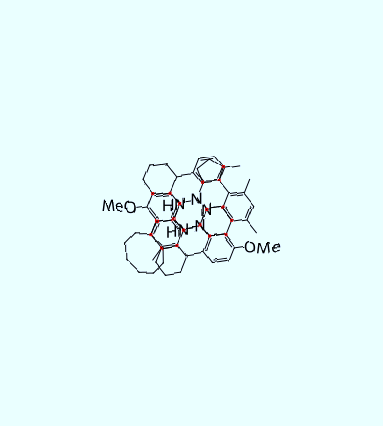 COc1ccc(C2CCCCC2)c(N(Nc2cccc(OC)c2C2CCCCCCC2)N(c2cc(C)cc(C)c2C2CCCC2)N(Nc2ccc(C)cc2C2CCCCC2)c2cc(C)ccc2C2CCCCC2)c1